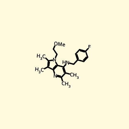 COCCn1c(C)c(C)c2nc(C)c(C)c(NCc3ccc(F)cc3)c21